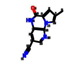 Cc1cc2c(=O)[nH]c3cc(C#N)cnc3n2c1